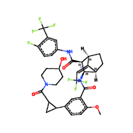 COc1ccc(C2CC2C(=O)N2CCC(O)CC2)cc1C(=O)N[C@H]1[C@@H](C(=O)Nc2ccc(F)c(C(F)(F)F)c2)[C@H]2CC[C@@H]1/C2=C\C(F)(F)F